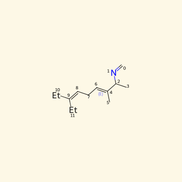 C=NC(C)/C(C)=C/CC=C(CC)CC